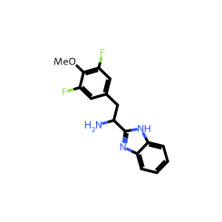 COc1c(F)cc(CC(N)c2nc3ccccc3[nH]2)cc1F